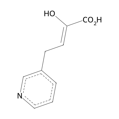 O=C(O)C(O)=CCc1cccnc1